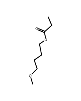 [CH2]CC(=O)OCCCCOC